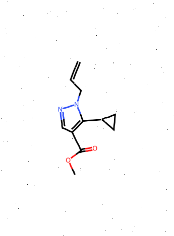 C=CCn1ncc(C(=O)OC)c1C1CC1